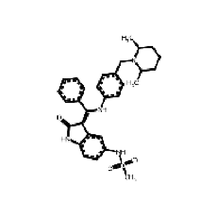 CC1CCCC(C)N1Cc1ccc(NC(=C2C(=O)Nc3ccc(NS(C)(=O)=O)cc32)c2ccccc2)cc1